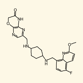 COc1ccc2c(F)ccc(CNC3CCC(NCc4cnc5c(n4)NC(=O)CO5)CC3)c2n1